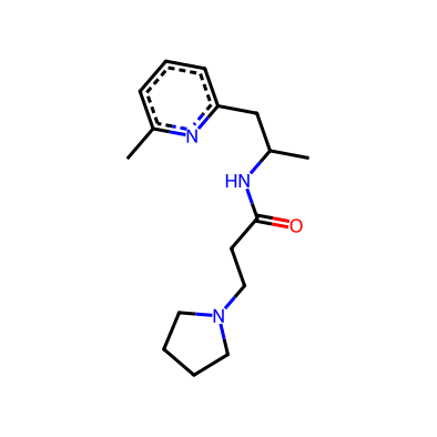 Cc1cccc(CC(C)NC(=O)CCN2CCCC2)n1